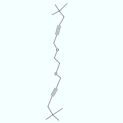 CC(C)(C)CC#CCOCCOCC#CCC(C)(C)C